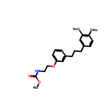 COc1ccc(CCCc2cccc(OCCNC(=O)OC(C)(C)C)c2)cc1OC